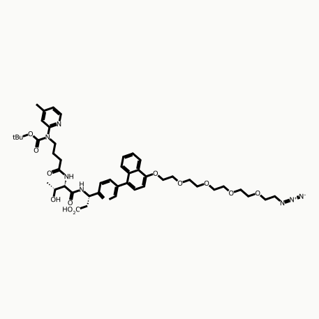 C=C(/C=C\C(=C/C)c1ccc(OCCOCCOCCOCCOCCN=[N+]=[N-])c2ccccc12)[C@H](CC(=O)O)NC(=O)[C@@H](NC(=O)CCCN(C(=O)OC(C)(C)C)c1cc(C)ccn1)[C@@H](C)O